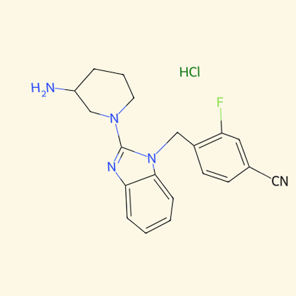 Cl.N#Cc1ccc(Cn2c(N3CCCC(N)C3)nc3ccccc32)c(F)c1